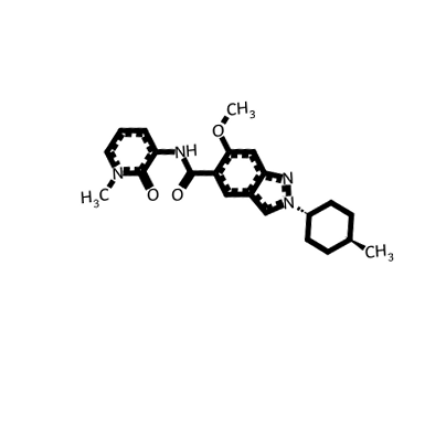 COc1cc2nn([C@H]3CC[C@H](C)CC3)cc2cc1C(=O)Nc1cccn(C)c1=O